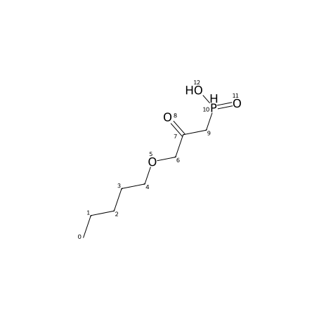 CCCCCOCC(=O)C[PH](=O)O